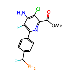 COC(=O)c1nc(-c2ccc(C(F)P)cc2)c(F)c(N)c1Cl